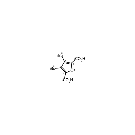 CCC(C)c1c(C(=O)O)oc(C(=O)O)c1C(C)CC